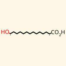 O=C(O)[CH]CCCCCCCCCCC[CH]O